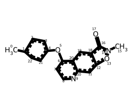 Cc1ccc(Oc2ccnc3cc4on(C)c(=O)c4cc23)cc1